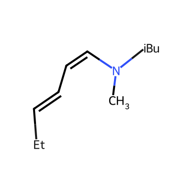 CCC=C/C=C\N(C)C(C)CC